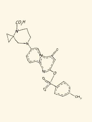 Cc1ccc(S(=O)(=O)Oc2cc(=O)n3cc(N4CCN(C(=O)O)C5(CC5)C4)ccc3n2)cc1